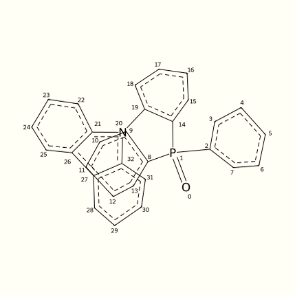 O=P(c1ccccc1)(c1ccccc1)c1ccccc1-n1c2ccccc2c2ccccc21